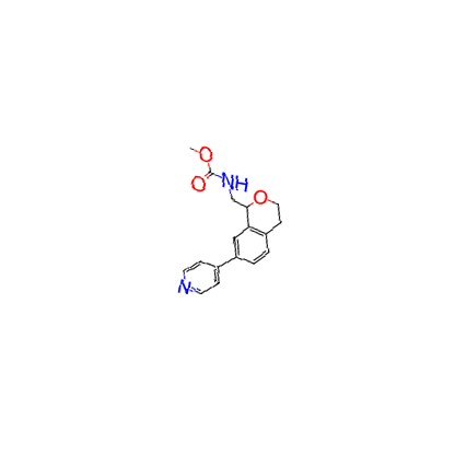 COC(=O)NCC1OCCc2ccc(-c3ccncc3)cc21